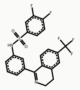 O=S(=O)(Nc1cccc(C2=NCCc3cc(C(F)(F)F)ccc32)c1)c1ccc(F)c(F)c1